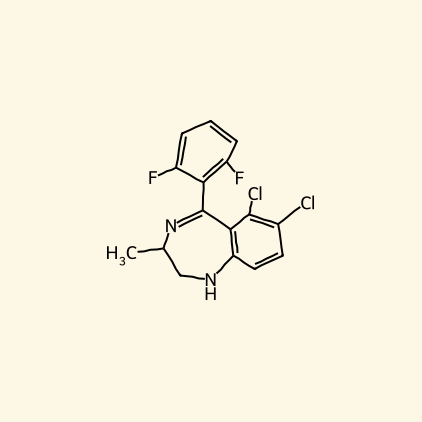 CC1CNc2ccc(Cl)c(Cl)c2C(c2c(F)cccc2F)=N1